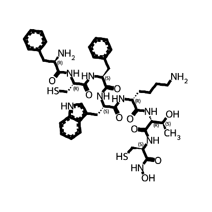 C[C@H](O)[C@@H](NC(=O)[C@@H](CCCCN)NC(=O)[C@H](Cc1c[nH]c2ccccc12)NC(=O)[C@H](Cc1ccccc1)NC(=O)[C@H](CS)NC(=O)[C@H](N)Cc1ccccc1)C(=O)N[C@H](CS)C(=O)NO